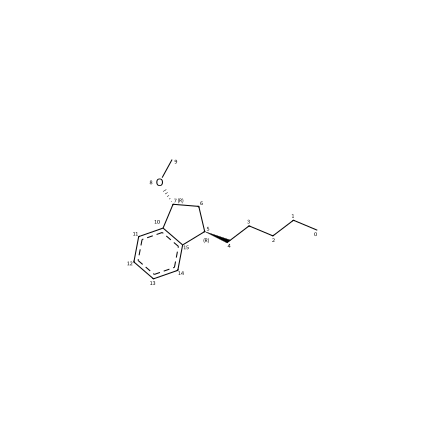 CCCCC[C@@H]1C[C@@H](OC)c2ccccc21